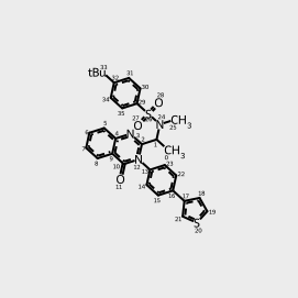 CC(c1nc2ccccc2c(=O)n1-c1ccc(-c2ccsc2)cc1)N(C)S(=O)(=O)c1ccc(C(C)(C)C)cc1